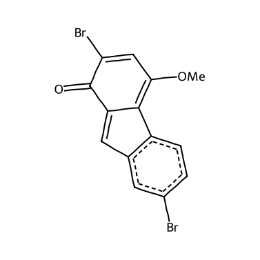 COC1=C2C(=Cc3cc(Br)ccc32)C(=O)C(Br)=C1